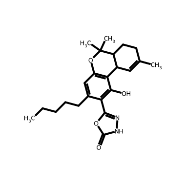 CCCCCc1cc2c(c(O)c1-c1n[nH]c(=O)o1)C1C=C(C)CCC1C(C)(C)O2